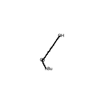 CCCCC=CCCCCCCCC(=O)OCCCCCCCCCCCCCCCCCCCCCCCCCCCCCCCCO